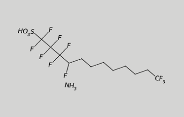 N.O=S(=O)(O)C(F)(F)C(F)(F)C(F)(F)C(F)CCCCCCCC(F)(F)F